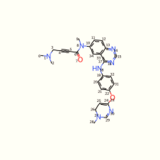 CN(C)CC#CC(=O)N(C)c1ccc2ncnc(Nc3ccc(OC4=CCN(C)C=N4)cc3)c2c1